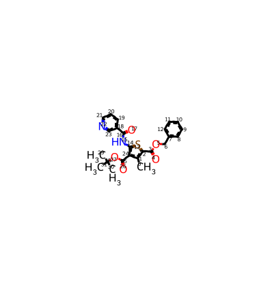 Cc1c(C(=O)OCc2ccccc2)sc(NC(=O)c2cccnc2)c1C(=O)OC(C)(C)C